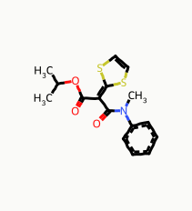 CC(C)OC(=O)C(C(=O)N(C)c1ccccc1)=C1SC=CS1